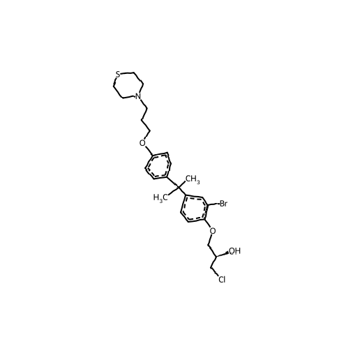 CC(C)(c1ccc(OCCCN2CCSCC2)cc1)c1ccc(OC[C@@H](O)CCl)c(Br)c1